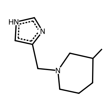 CC1CCCN(Cc2c[nH]cn2)C1